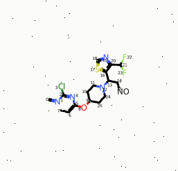 C=N/C(Cl)=N\C(=C/C)OC1CCN(C(CN=O)c2scnc2C(F)F)CC1